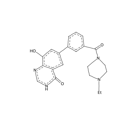 CCN1CCN(C(=O)c2cccc(-c3cc(O)c4nc[nH]c(=O)c4c3)c2)CC1